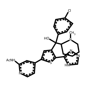 CC(=O)Nc1cc(-c2cc(C(O)(c3ccc(Cl)cc3)C3CCCCN3C)c(-c3nnc[nH]3)s2)ccn1